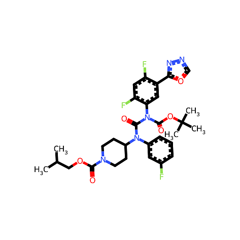 CC(C)COC(=O)N1CCC(N(C(=O)N(C(=O)OC(C)(C)C)c2cc(-c3nnco3)c(F)cc2F)c2cccc(F)c2)CC1